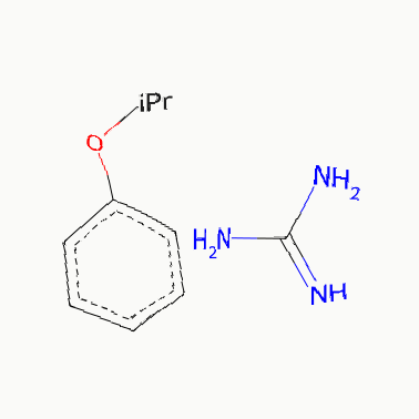 CC(C)Oc1ccccc1.N=C(N)N